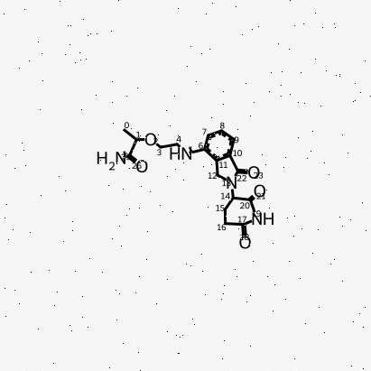 CC(OCCNc1cccc2c1CN(C1CCC(=O)NC1=O)C2=O)C(N)=O